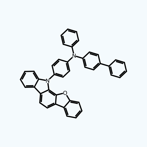 c1ccc(-c2ccc(N(c3ccccc3)c3ccc(-n4c5ccccc5c5ccc6c7ccccc7oc6c54)cc3)cc2)cc1